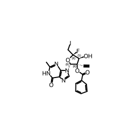 C#C[C@]1(OC(=O)c2ccccc2)[C@H](n2cnc3c(=O)[nH]c(C)nc32)O[C@](F)(CI)[C@H]1O